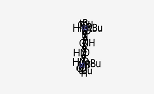 CC(C)(C)OC(=O)/N=C(/NCc1ccc(NC(=O)c2ccc(C(=O)Nc3ccc(N4CCN(/C(=N\C(=O)OC(C)(C)C)NC(=O)OC(C)(C)C)CC4)cc3)cc2)cc1)NC(=O)OC(C)(C)C